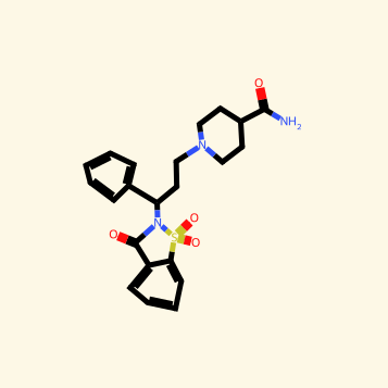 NC(=O)C1CCN(CCC(c2ccccc2)N2C(=O)c3ccccc3S2(=O)=O)CC1